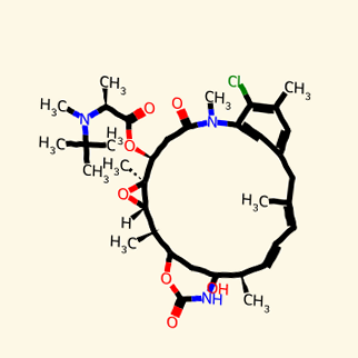 C/C1=C\C=C\[C@@H](C)[C@@]2(O)CC(OC(=O)N2)[C@@H](C)[C@@H]2O[C@@]2(C)[C@@H](OC(=O)[C@H](C)N(C)C(C)(C)C)CC(=O)N(C)c2cc(cc(C)c2Cl)C1